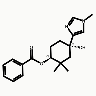 Cn1cnc([C@]2(O)CC[C@H](OC(=O)c3ccccc3)C(C)(C)C2)c1